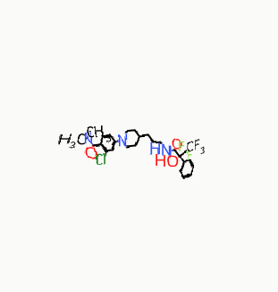 CN(C)C(=O)c1ccc(N2CCC(CCCNC(=O)C(O)(c3ccccc3)C(F)(F)C(F)(F)F)CC2)cc1Cl